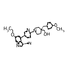 CCOc1cc(-c2ccc(N3CCC(CO)(Cc4ccc(OC)cc4)CC3)nc2)c2c(C#N)cnn2c1